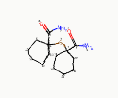 NC(=O)C1(SC2(C(N)=O)CCCCC2)CCCCC1